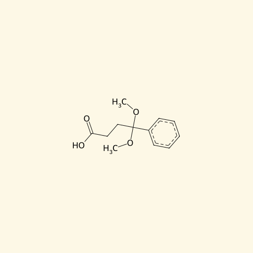 COC(CCC(=O)O)(OC)c1ccccc1